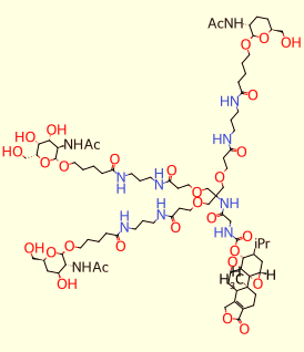 CC(=O)N[C@H]1[C@H](OCCCCC(=O)NCCCNC(=O)CCOCC(COCCC(=O)NCCCNC(=O)CCCCO[C@@H]2O[C@H](CO)C[C@H](O)[C@H]2NC(C)=O)(COCCC(=O)NCCCNC(=O)CCCCO[C@@H]2O[C@H](CO)CC[C@H]2NC(C)=O)NC(=O)CNC(=O)O[C@@H]2C(C(C)C)C[C@@H]3O[C@]34[C@]23O[C@H]3CC2C3=C(CC[C@@]24C)C(=O)OC3)O[C@H](CO)[C@H](O)[C@@H]1O